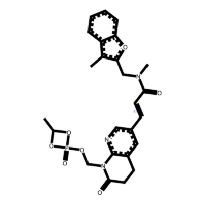 Cc1c(CN(C)C(=O)/C=C/c2cnc3c(c2)CCC(=O)N3COP2(=O)OC(C)O2)oc2ccccc12